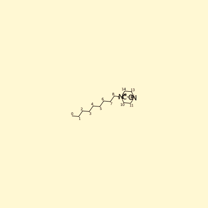 CCCCCCCCC[N+]12CCN(CC1)CC2